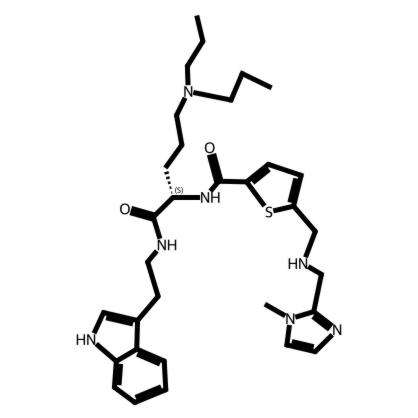 CCCN(CCC)CCC[C@H](NC(=O)c1ccc(CNCc2nccn2C)s1)C(=O)NCCc1c[nH]c2ccccc12